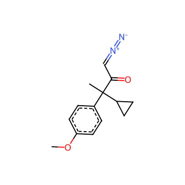 COc1ccc(C(C)(C(=O)C=[N+]=[N-])C2CC2)cc1